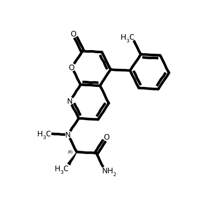 Cc1ccccc1-c1cc(=O)oc2nc(N(C)[C@H](C)C(N)=O)ccc12